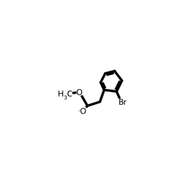 COC([O])Cc1ccccc1Br